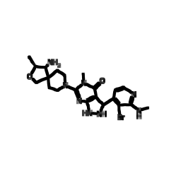 CNc1nccc(C2NNc3nc(N4CCC5(CC4)CO[C@@H](C)[C@H]5N)n(C)c(=O)c32)c1Br